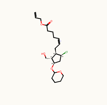 C=CCOC(=O)CCC/C=C\C[C@@H]1[C@@H](CO)[C@H](OC2CCCCO2)C[C@@H]1Cl